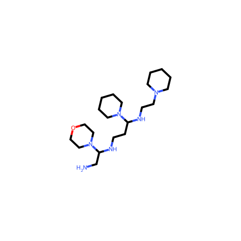 NCC(NCCC(NCCN1CCCCC1)N1CCCCC1)N1CCOCC1